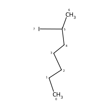 CCCCC[C](C)I